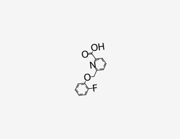 O=C(O)c1cccc(COc2ccccc2F)n1